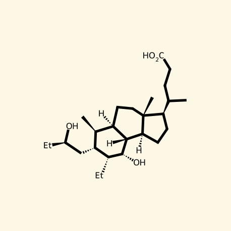 CC[C@@H](O)C[C@@H]1[C@@H](C)[C@H]2CC[C@]3(C)[C@@H](C(C)CCC(=O)O)CC[C@H]3[C@@H]2[C@H](O)[C@@H]1CC